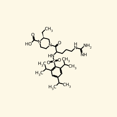 CC[C@H]1CN(C(=O)C(CCCNC(=N)N)NS(=O)(=O)c2c(C(C)C)cc(C(C)C)cc2C(C)C)CCN1C(=O)O